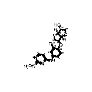 CSc1nccc(Nc2ccc(OC3CO[C@H]4[C@@H]3OC[C@@H]4O)c(Cl)c2)n1